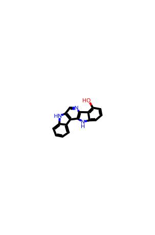 Oc1cccc2[nH]c3c(ncc4[nH]c5ccccc5c43)c12